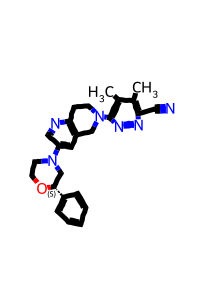 Cc1c(C#N)nnc(N2CCc3ncc(N4CCO[C@@H](c5ccccc5)C4)cc3C2)c1C